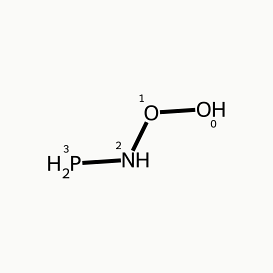 OONP